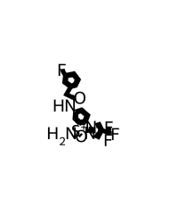 N[S+]([O-])c1cc(NC(=O)Cc2cccc(F)c2)ccc1-n1cc(C(F)(F)F)cn1